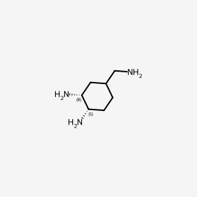 NCC1CC[C@H](N)[C@H](N)C1